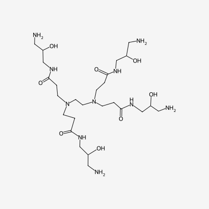 NCC(O)CNC(=O)CCN(CCC(=O)NCC(O)CN)CCN(CCC(=O)NCC(O)CN)CCC(=O)NCC(O)CN